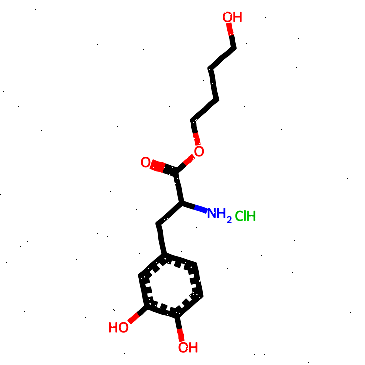 Cl.NC(Cc1ccc(O)c(O)c1)C(=O)OCCCCO